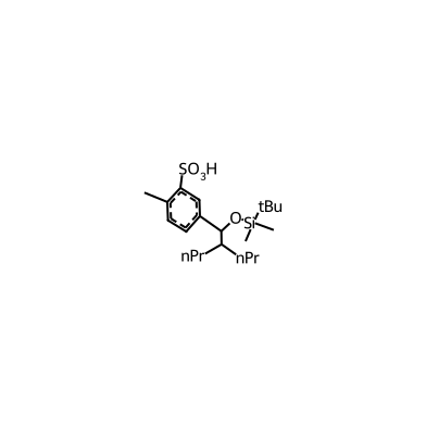 CCCC(CCC)C(O[Si](C)(C)C(C)(C)C)c1ccc(C)c(S(=O)(=O)O)c1